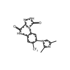 Cc1cn(-c2cc3c(cc2C(F)(F)F)[nH]c(=O)c2n[nH]c(=O)n23)c(C)n1